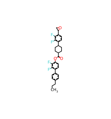 CCCc1ccc(-c2ccc(OC(=O)C3CCC(c4ccc(C5CO5)c(F)c4F)CC3)c(F)c2F)cc1